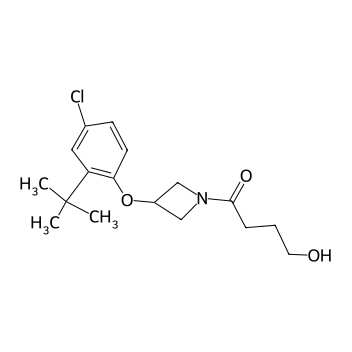 CC(C)(C)c1cc(Cl)ccc1OC1CN(C(=O)CCCO)C1